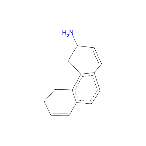 NC1C=Cc2ccc3c(c2C1)CCC=C3